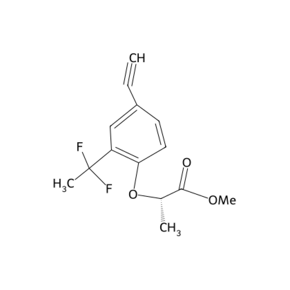 C#Cc1ccc(O[C@@H](C)C(=O)OC)c(C(C)(F)F)c1